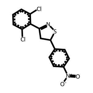 O=[N+]([O-])c1ccc(C2CC(c3c(Cl)cccc3Cl)=NS2)cc1